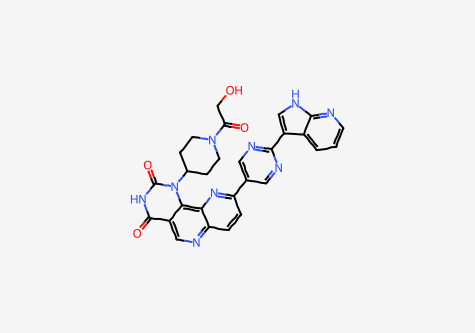 O=C(CO)N1CCC(n2c(=O)[nH]c(=O)c3cnc4ccc(-c5cnc(-c6c[nH]c7ncccc67)nc5)nc4c32)CC1